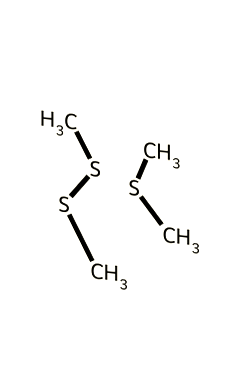 CSC.CSSC